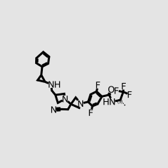 C[C@H](NC(=O)c1cc(F)c(N2CC(CC#N)(N3CC(CNC4CC4c4ccccc4)C3)C2)cc1F)C(F)(F)F